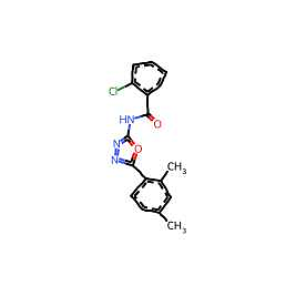 Cc1ccc(-c2nnc(NC(=O)c3ccccc3Cl)o2)c(C)c1